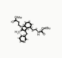 COC(=O)CCn1c(C)c(Cc2cccnc2)c2c(CCNC(=O)OC(C)(C)C)cccc21